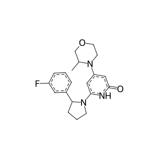 CC1COCCN1c1cc(N2CCCC2c2cccc(F)c2)[nH]c(=O)c1